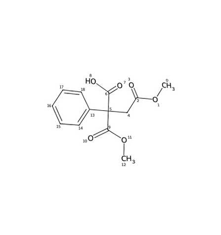 COC(=O)CC(C(=O)O)(C(=O)OC)c1ccccc1